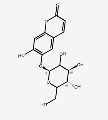 O=c1ccc2cc(O[C@@H]3OC(CO)[C@@H](O)[C@H](O)C3O)c(O)cc2o1